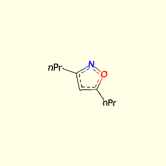 [CH2]CCc1cc(CCC)on1